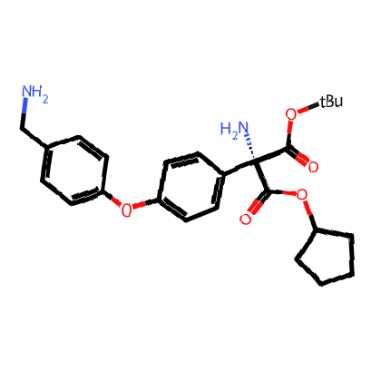 CC(C)(C)OC(=O)[C@@](N)(C(=O)OC1CCCC1)c1ccc(Oc2ccc(CN)cc2)cc1